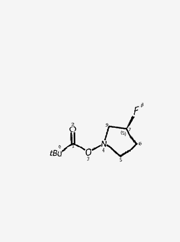 CC(C)(C)C(=O)ON1CC[C@H](F)C1